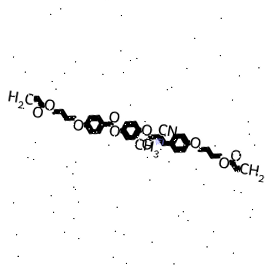 C=CC(=O)OCCCCOc1ccc(/C=C(\C#N)C(=O)Oc2ccc(OC(=O)c3ccc(OCCCCOC(=O)C=C)cc3)cc2C)cc1